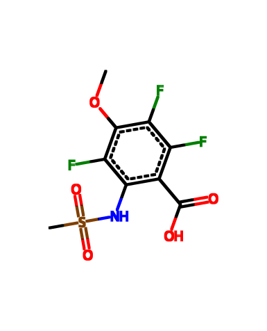 COc1c(F)c(F)c(C(=O)O)c(NS(C)(=O)=O)c1F